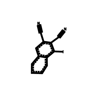 N#Cc1cc2ccccc2c(I)c1C#N